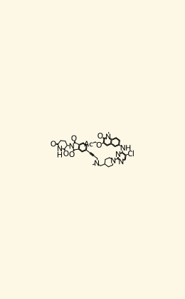 CC(=O)COc1cc2cc(Nc3nc(N4CCC(CN(C)CC#Cc5ccc6c(c5)C(=O)N(C5CCC(=O)NC5=O)C6=O)CC4)ncc3Cl)ccc2n(C)c1=O